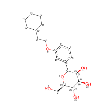 OC[C@H]1OC(c2cccc(OCCC3CCCCC3)c2)[C@@H](O)[C@@H](O)[C@@H]1O